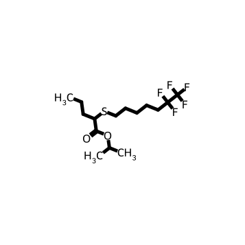 CCCC(SCCCCCC(F)(F)C(F)(F)F)C(=O)OC(C)C